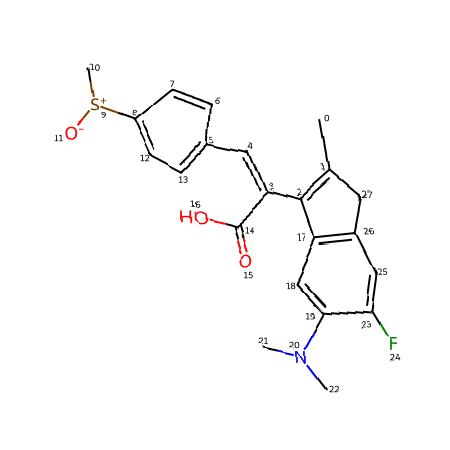 CC1=C(C(=Cc2ccc([S+](C)[O-])cc2)C(=O)O)c2cc(N(C)C)c(F)cc2C1